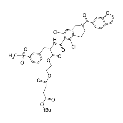 CC(C)(C)OC(=O)CCC(=O)OCCOC(=O)[C@H](Cc1cccc(S(C)(=O)=O)c1)NC(=O)c1c(Cl)cc2c(c1Cl)CCN(C(=O)c1ccc3ccoc3c1)C2